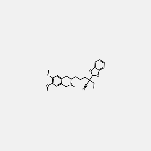 CCC(C#N)(CCCC1Cc2cc(OC)c(OC)cc2CN1C)C1Oc2ccccc2O1